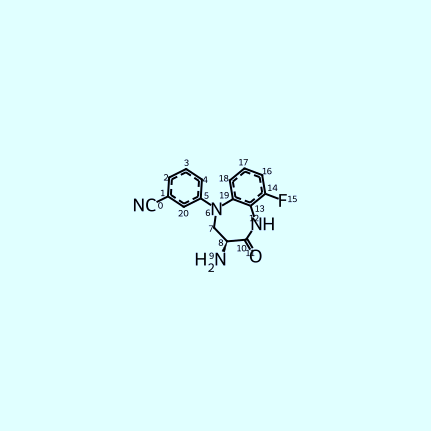 N#Cc1cccc(N2C[C@H](N)C(=O)Nc3c(F)cccc32)c1